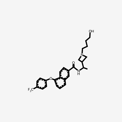 CC(NC(=O)c1ccc2c(Oc3ccc(C(F)(F)F)cc3)cccc2c1)C1CN(CCCCO)C1